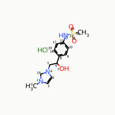 CN1C=CN(CC(O)c2ccc(NS(C)(=O)=O)cc2)C1.Cl